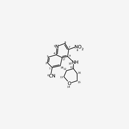 N#Cc1ccc2ncc([N+](=O)[O-])c(NC3CCOCC3)c2c1